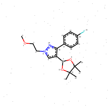 COCCn1cc(B2OC(C)(C)C(C)(C)O2)c(-c2ccc(F)cc2)n1